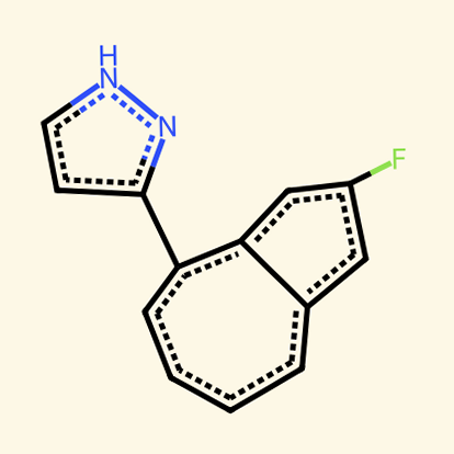 Fc1cc2ccccc(-c3cc[nH]n3)c-2c1